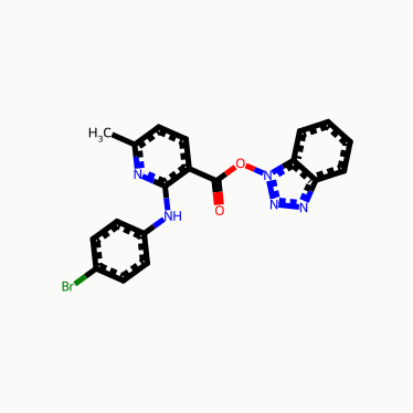 Cc1ccc(C(=O)On2nnc3ccccc32)c(Nc2ccc(Br)cc2)n1